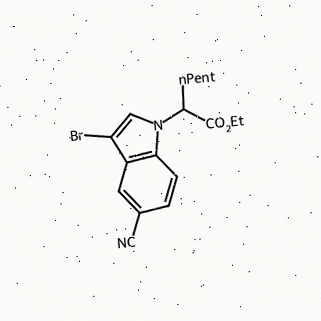 CCCCCC(C(=O)OCC)n1cc(Br)c2cc(C#N)ccc21